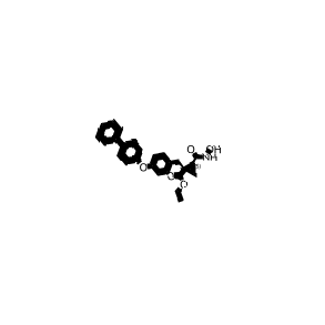 CCOC(=O)[C@@]1(Cc2ccc(Oc3ccc(-c4ccccc4)cc3)cc2)C[C@@H]1C(=O)NO